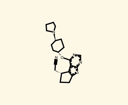 N#CC[C@H]1CCc2sc3ncnc(O[C@H]4CC[C@H](N5CCCC5)CC4)c3c21